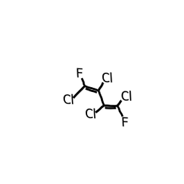 FC(Cl)=C(Cl)C(Cl)=C(F)Cl